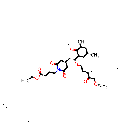 CCOC(=O)CCCN1C(=O)CC(C[C@@H](OCCCC(=O)COC)C2C[C@@H](C)CC(C)C2=O)CC1=O